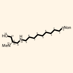 CCCCCCCCCCCCCCCCCCNC[C@@H](CO)NC